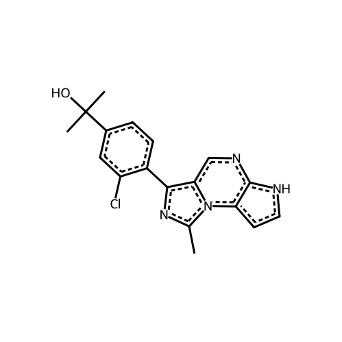 Cc1nc(-c2ccc(C(C)(C)O)cc2Cl)c2cnc3[nH]ccc3n12